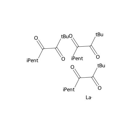 CCCC(C)C(=O)C(=O)C(C)(C)C.CCCC(C)C(=O)C(=O)C(C)(C)C.CCCC(C)C(=O)C(=O)C(C)(C)C.[La]